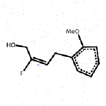 COc1ccccc1C/C=C(/F)CO